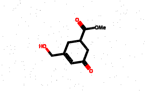 COC(=O)C1CC(=O)C=C(CO)C1